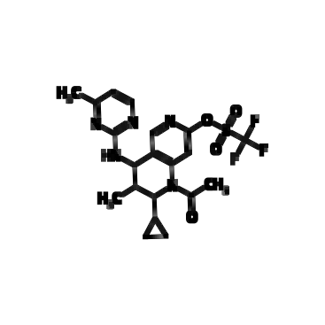 CC(=O)N1c2cc(OS(=O)(=O)C(F)(F)F)ncc2C(Nc2nccc(C)n2)C(C)C1C1CC1